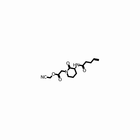 C=CCCC(=O)N[C@H]1CCCN(CC(=O)OCC#N)C1=O